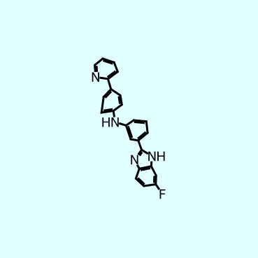 Fc1ccc2nc(-c3cccc(Nc4ccc(-c5ccccn5)cc4)c3)[nH]c2c1